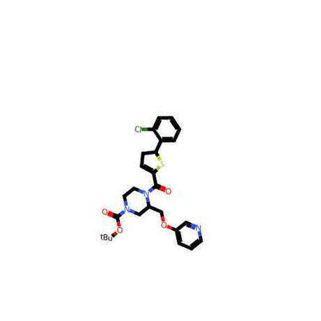 CC(C)(C)OC(=O)N1CCN(C(=O)C2=CCC(c3ccccc3Cl)S2)C(COc2cccnc2)C1